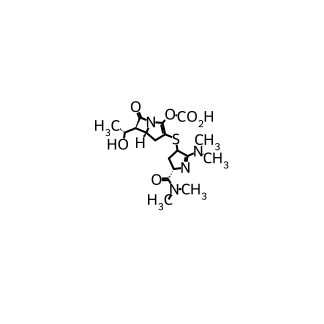 C[C@@H](O)[C@H]1C(=O)N2C(OC(=O)O)=C(SC3C[C@@H](C(=O)N(C)C)N=C3N(C)C)C[C@H]12